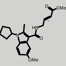 COC(=O)/C=C/CNC(=O)c1c(C)n(C2CCCC2)c2ccc(OC)cc12